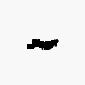 C=C1/C(=C\C=C2/CCC[C@]3(C)[C@@H]([C@H](C)/C=C/[C@H](O)C4(c5ncc(CCCCC)[nH]5)CC4)CC[C@@H]23)C[C@@H](O)C[C@@H]1O